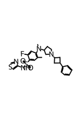 Cc1cc(S(=O)(=O)Nc2cscn2)c(F)cc1N(C)C1CCN(C2CC(c3ccccc3)C2)C1